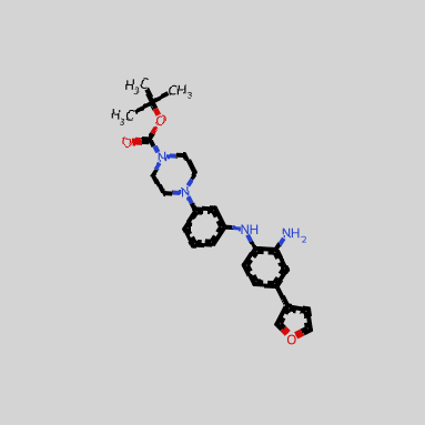 CC(C)(C)OC(=O)N1CCN(c2cccc(Nc3ccc(-c4ccoc4)cc3N)c2)CC1